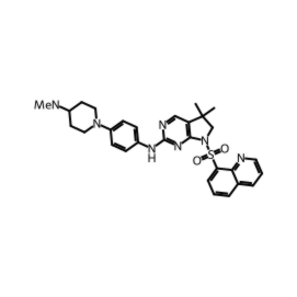 CNC1CCN(c2ccc(Nc3ncc4c(n3)N(S(=O)(=O)c3cccc5cccnc35)CC4(C)C)cc2)CC1